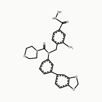 Cc1cc(C(=O)NO)ccc1CN(C(=O)N1CCOCC1)c1cccc(-c2ccc3c(c2)OCO3)c1